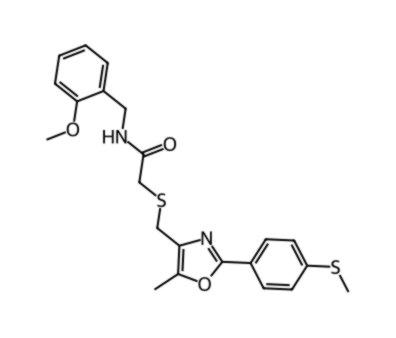 COc1ccccc1CNC(=O)CSCc1nc(-c2ccc(SC)cc2)oc1C